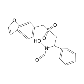 O=CN(O)C(CS(=O)(=O)Cc1ccc2ccoc2c1)c1ccccc1